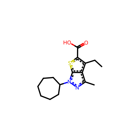 CCc1c(C(=O)O)sc2c1c(C)nn2C1CCCCCC1